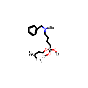 CCO[Si](CCCCN(Cc1ccccc1)C(C)(C)C)(OCC)OCC[SiH](C)C